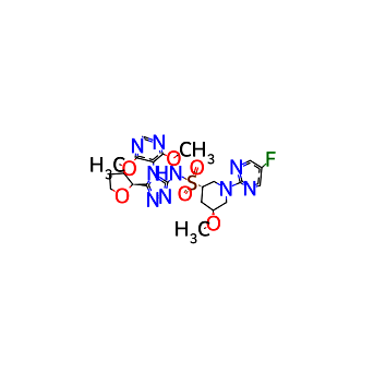 COc1ncnc(OC)c1-n1c(NS(=O)(=O)[C@H]2C[C@H](OC)CN(c3ncc(F)cn3)C2)nnc1[C@@H]1CCCO1